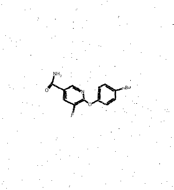 CCCCc1ccc(Oc2ncc(C(N)=O)cc2F)cc1